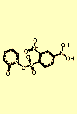 O=c1ccccn1OS(=O)(=O)c1ccc(N(O)O)cc1[N+](=O)[O-]